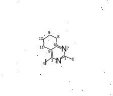 Cc1nc(I)c2c(n1)CCCC2